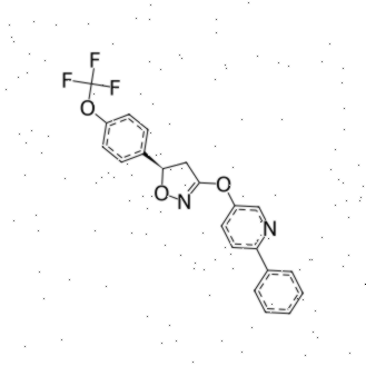 FC(F)(F)Oc1ccc([C@H]2CC(Oc3ccc(-c4ccccc4)nc3)=NO2)cc1